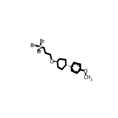 COc1ccc([C@H]2CC[C@H](OCCC[Si](Br)(Br)Br)CC2)cc1